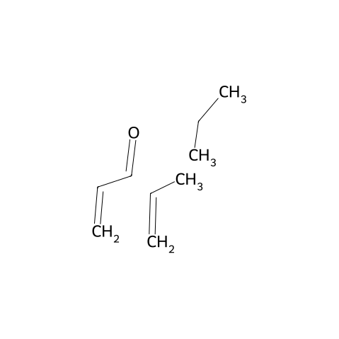 C=CC.C=CC=O.CCC